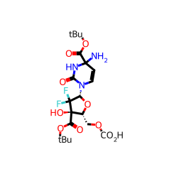 CC(C)(C)OC(=O)C1(N)C=CN([C@@H]2O[C@H](COC(=O)O)[C@](O)(C(=O)OC(C)(C)C)C2(F)F)C(=O)N1